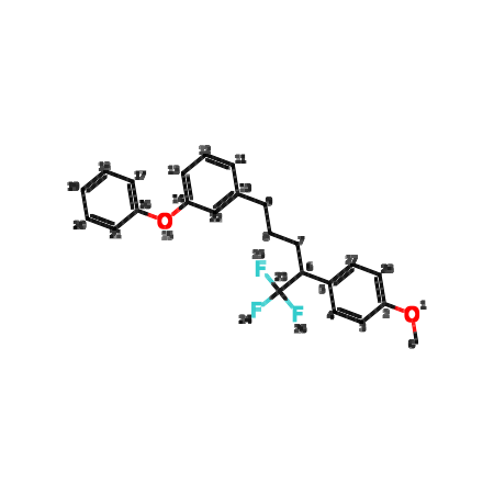 COc1ccc(C(CCCc2cccc(Oc3ccccc3)c2)C(F)(F)F)cc1